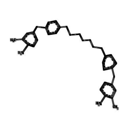 Cc1cc(Cc2ccc(CCCCCCCc3ccc(Cc4ccc(N)c(C)c4)cc3)cc2)ccc1N